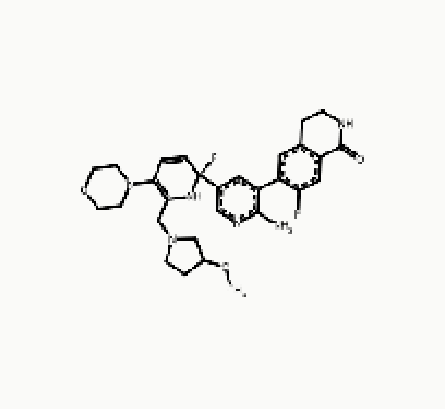 COC1CCN(CC2=C(N3CCOCC3)C=C[C@](F)(c3cnc(N)c(-c4cc5c(cc4F)C(=O)NCC5)c3)N2)C1